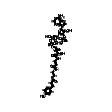 CC(C)(COP(=O)(O)OP(=O)(O)OC[C@H]1O[C@@H](n2cnc3c(N)ncnc32)[C@H](O)[C@@H]1OP(=O)(O)O)[C@@H](O)C(=O)NCCC(=O)NCCSC(=O)C=Cc1ccc(O)cc1